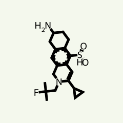 CC(C)(F)CN1Cc2cc3c(c([SH](=O)=O)c2C=C1C1CC1)CCC(N)C3